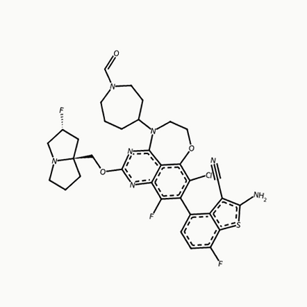 N#Cc1c(N)sc2c(F)ccc(-c3c(Cl)c4c5c(nc(OC[C@@]67CCCN6C[C@H](F)C7)nc5c3F)N(C3CCCN(C=O)CC3)CCO4)c12